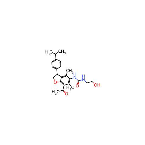 CC(=O)c1c(C)c(NC(=O)NCCO)c(C)c2c1OCC2c1ccc(C(C)C)cc1